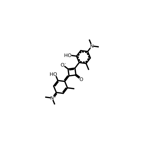 CC1=CC(=[N+](C)C)C=C(O)/C1=C1/C(=O)C(c2c(C)cc(N(C)C)cc2O)=C1[O-]